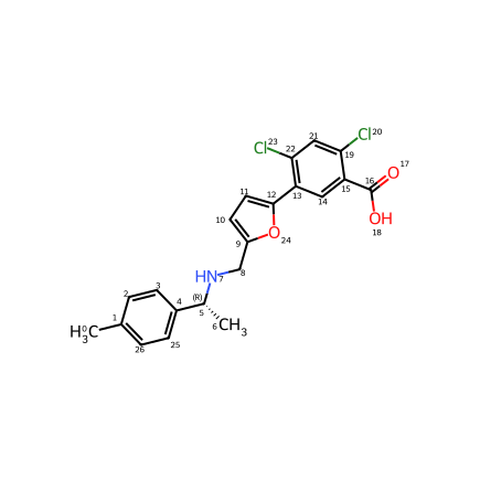 Cc1ccc([C@@H](C)NCc2ccc(-c3cc(C(=O)O)c(Cl)cc3Cl)o2)cc1